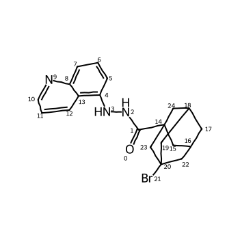 O=C(NNc1cccc2ncccc12)C12CC3CC(CC(Br)(C3)C1)C2